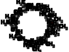 C/C=C/C[C@@H](C)[C@@H](O)[C@H]1C(=O)N[C@@H]([C@@H](C)O)C(=O)N(C)CC(=O)N(C)[C@@H](CC(C)C)C(=O)N[C@@H](C(C)C)C(=O)N(C)[C@@H](CC(C)C)C(=O)N[C@@H](C)C(=O)N[C@H](C)C(=O)N(C)[C@@H](CC(C)C)C(=O)N(C)[C@@H](CC(C)C)C(=O)N(C)[C@@H](C(C)C)C(=O)N1C